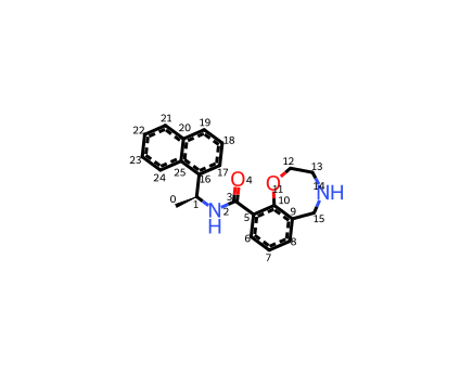 C[C@H](NC(=O)c1cccc2c1OCCNC2)c1cccc2ccccc12